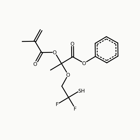 C=C(C)C(=O)OC(C)(OCC(F)(F)S)C(=O)Oc1ccccc1